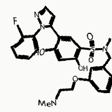 CNCCOc1cccc(CN(C)S(=O)(=O)c2cc(-c3ccnn3-c3ccccc3F)c(O)cc2O)c1